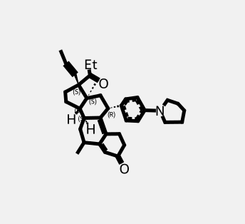 CC#C[C@]1(C(=O)CC)CC[C@H]2[C@@H]3CC(C)C4=CC(=O)CCC4=C3[C@@H](c3ccc(N4CCCCC4)cc3)C[C@@]21C